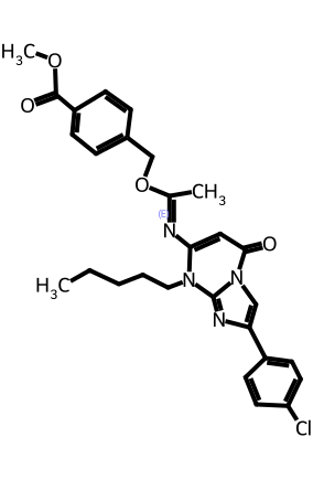 CCCCCn1c(/N=C(\C)OCc2ccc(C(=O)OC)cc2)cc(=O)n2cc(-c3ccc(Cl)cc3)nc12